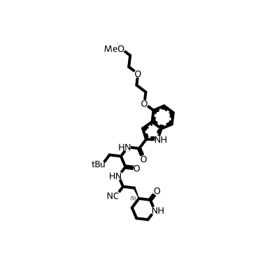 COCCOCCOc1cccc2[nH]c(C(=O)NC(CC(C)(C)C)C(=O)NC(C#N)C[C@@H]3CCCNC3=O)cc12